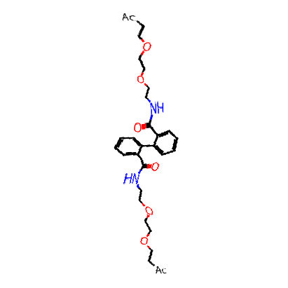 CC(=O)CCOCCOCCNC(=O)c1ccccc1-c1ccccc1C(=O)NCCOCCOCCC(C)=O